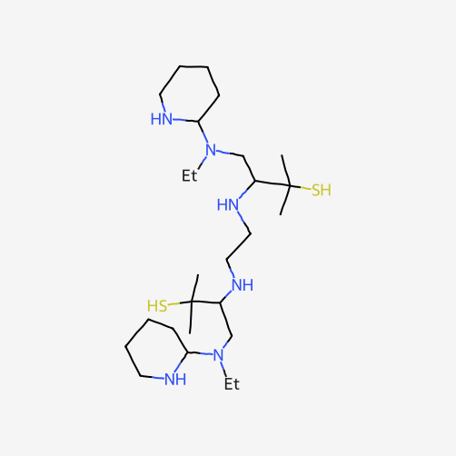 CCN(CC(NCCNC(CN(CC)C1CCCCN1)C(C)(C)S)C(C)(C)S)C1CCCCN1